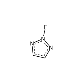 Fn1nccn1